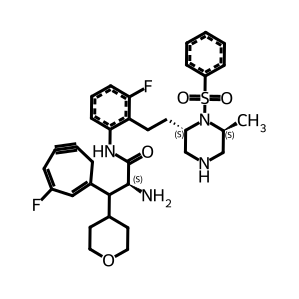 C[C@H]1CNC[C@H](CCc2c(F)cccc2NC(=O)[C@@H](N)C(C2=CC(F)=CC#CC2)C2CCOCC2)N1S(=O)(=O)c1ccccc1